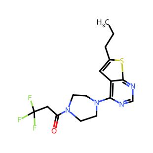 CCCc1cc2c(N3CCN(C(=O)CC(F)(F)F)CC3)ncnc2s1